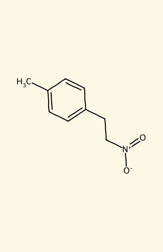 Cc1ccc(CC[N+](=O)[O-])cc1